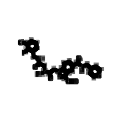 CC(C)N(CC(=O)NCc1cccc(Cl)c1F)C(=O)Cn1nc(C=O)c2cc(C(=O)NCc3ccncc3)ccc21